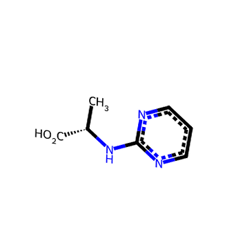 C[C@H](Nc1ncccn1)C(=O)O